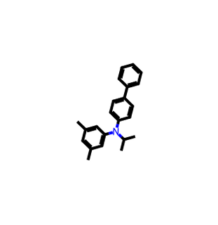 Cc1cc(C)cc(N(c2ccc(-c3ccccc3)cc2)C(C)C)c1